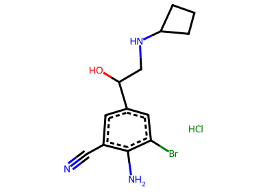 Cl.N#Cc1cc(C(O)CNC2CCC2)cc(Br)c1N